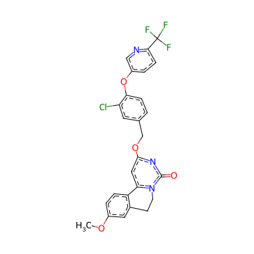 COc1ccc2c(c1)CCn1c-2cc(OCc2ccc(Oc3ccc(C(F)(F)F)nc3)c(Cl)c2)nc1=O